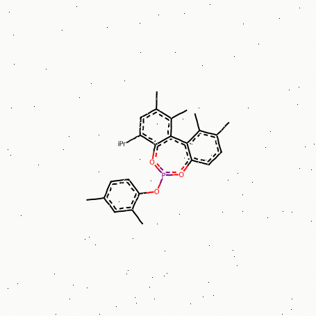 Cc1ccc(Op2oc3ccc(C)c(C)c3c3c(C)c(C)cc(C(C)C)c3o2)c(C)c1